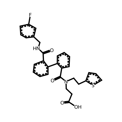 O=C(O)CCN(CCc1cccs1)C(=O)c1ccccc1-c1ccccc1C(=O)NCc1cccc(F)c1